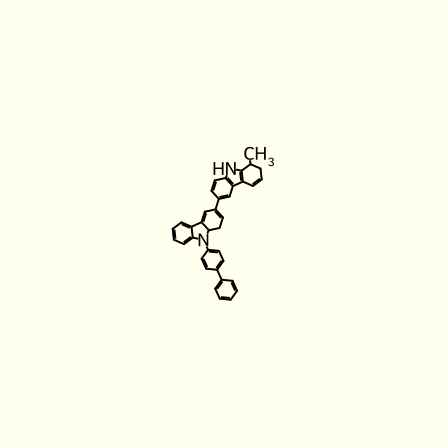 CC1CC=Cc2c1[nH]c1ccc(C3=CCC4C(=C3)c3ccccc3N4c3ccc(-c4ccccc4)cc3)cc21